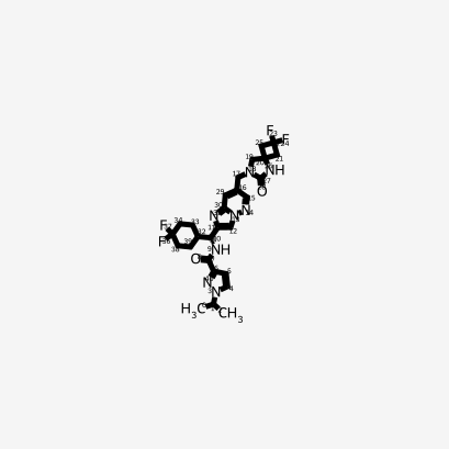 CC(C)n1ccc(C(=O)N[C@H](c2cn3ncc(CN4CC5(CC(F)(F)C5)NC4=O)cc3n2)C2CCC(F)(F)CC2)n1